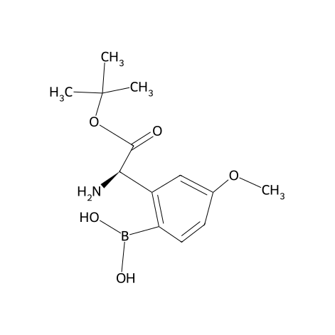 COc1ccc(B(O)O)c([C@@H](N)C(=O)OC(C)(C)C)c1